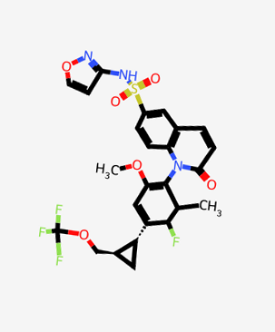 COC1=C(n2c(=O)ccc3cc(S(=O)(=O)Nc4ccon4)ccc32)C(C)C(F)C([C@@H]2C[C@H]2COC(F)(F)F)=C1